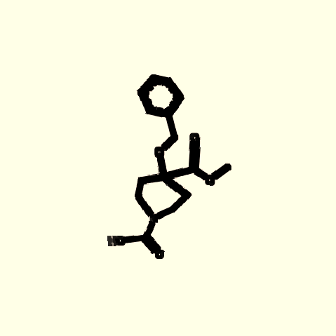 COC(=O)C1(OCc2ccccc2)CCN(C(=O)O)CC1